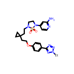 CCn1nnc(-c2ccc(OCCC3(CCN4CCN(c5ccnc(N)c5)S4(=O)=O)CC3)cc2)n1